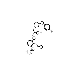 COc1cccc(OCC(O)CN2CCC(Oc3ccc(F)cc3)C2)c1CC=O